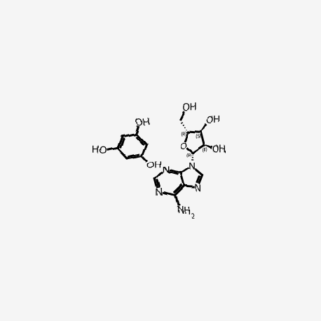 Nc1ncnc2c1ncn2[C@@H]1O[C@H](CO)[C@@H](O)[C@H]1O.Oc1cc(O)cc(O)c1